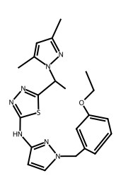 CCOc1cccc(Cn2ccc(Nc3nnc(C(C)n4nc(C)cc4C)s3)n2)c1